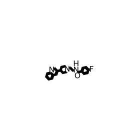 O=C(NCCN1CCC(c2cnc3ccccc3c2)CC1)c1ccc(F)cc1